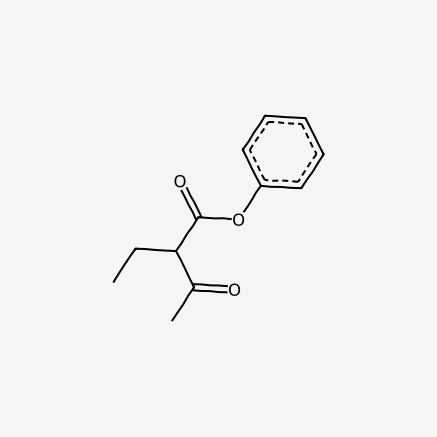 CCC(C(C)=O)C(=O)Oc1ccccc1